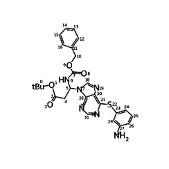 CC(C)(C)OC(=O)CC(NC(=O)OCc1ccccc1)n1cnc2c(Sc3cccc(N)c3)ncnc21